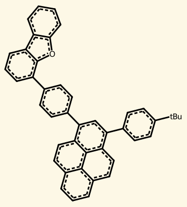 CC(C)(C)c1ccc(-c2cc(-c3ccc(-c4cccc5c4oc4ccccc45)cc3)c3ccc4cccc5ccc2c3c45)cc1